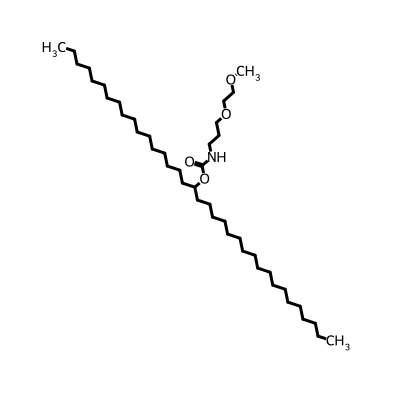 CCCCCCCCCCCCCCCCCCC(CCCCCCCCCCCCCCCCC)OC(=O)NCCCOCCOC